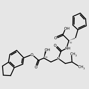 CC(C)CN(C[C@H](O)C(=O)Oc1ccc2c(c1)CCC2)C(=O)N[C@@H](Cc1ccccc1)C(=O)O